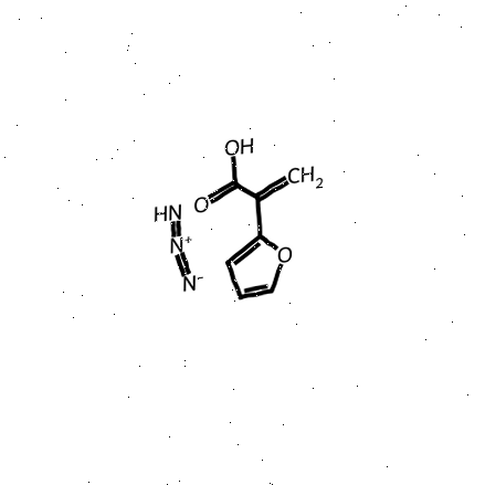 C=C(C(=O)O)c1ccco1.[N-]=[N+]=N